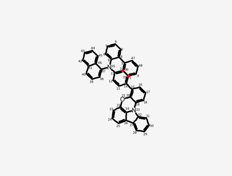 c1ccc(-c2ccccc2N(c2ccc(-c3cccc4c3Oc3cccc5c6ccccc6n-4c35)cc2)c2cccc3ccccc23)cc1